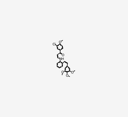 COc1ccc(C(=O)/C=C\Nc2ccccc2/C=C\c2cc(OC)c(OC)c(OC)c2)cc1Cl